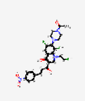 CC(=O)N1CCN(c2c(F)cc3c(=O)c(C(=O)C=Cc4ccc([N+](=O)[O-])cc4)cn(CCF)c3c2F)CC1